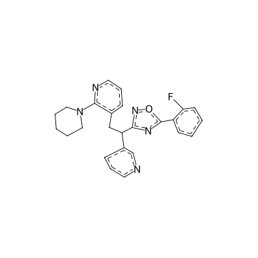 Fc1ccccc1-c1nc(C(Cc2cccnc2N2CCCCC2)c2cccnc2)no1